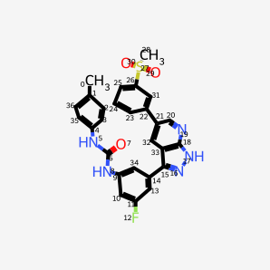 Cc1ccc(NC(=O)Nc2cc(F)cc(-c3n[nH]c4ncc(-c5cccc(S(C)(=O)=O)c5)cc34)c2)cc1